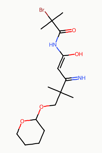 CC(C)(Br)C(=O)N/C(O)=C/C(=N)C(C)(C)COC1CCCCO1